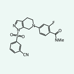 CNC(=O)c1ccc(N2CCc3cnn(S(=O)(=O)c4cccc(C#N)c4)c3C2)cc1F